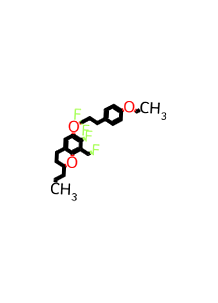 CCCC1CCc2cc(OC(F)(F)CCc3ccc(OCC)cc3)c(F)c(CF)c2O1